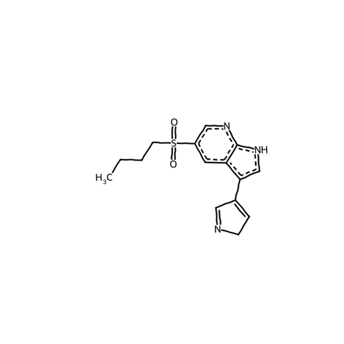 CCCCS(=O)(=O)c1cnc2[nH]cc(C3=CCN=C3)c2c1